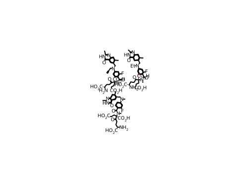 C#CCN(Cc1cc2c(=O)[nH]c(C)nc2cc1C)c1ccc(C(=O)N(C)[C@@](CCC(=O)O)(C(=O)O)C(=O)CC[C@H](N)C(=O)O)c(F)c1.CCN(Cc1cc2c(=O)[nH]c(C)nc2cc1C)c1ccc(C(=O)N(C)[C@@](CCC(=O)O)(C(=O)O)C(=O)CC[C@H](N)C(=O)O)c(F)c1.Cc1nc2cc(C)c(CN(C)c3ccc(C(=O)N(C)[C@@](CCC(=O)O)(C(=O)O)C(=O)CC[C@H](N)C(=O)O)c(F)c3)cc2c(=O)[nH]1